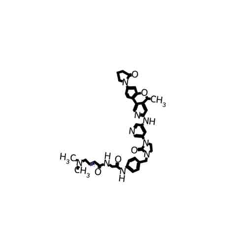 CC1Oc2cc(N3CCCC3=O)ccc2-c2cnc(Nc3cncc(N4CCN(Cc5ccc(NC(=O)CNC(=O)/C=C/CN(C)C)cc5)C4=O)c3)cc21